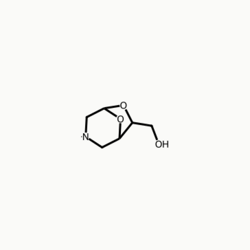 OCC1OC2C[N]CC1O2